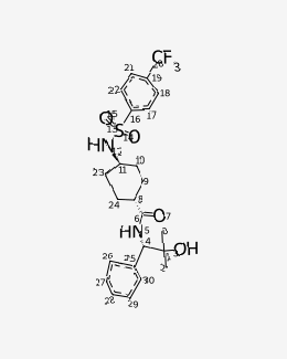 CC(C)(O)[C@@H](NC(=O)[C@H]1CC[C@H](NS(=O)(=O)c2ccc(C(F)(F)F)cc2)CC1)c1ccccc1